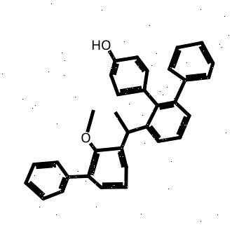 COc1c(-c2ccccc2)cccc1C(C)c1cccc(-c2ccccc2)c1-c1ccc(O)cc1